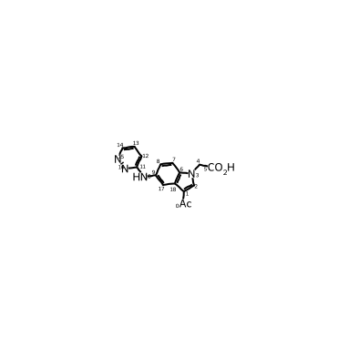 CC(=O)c1cn(CC(=O)O)c2ccc(Nc3cccnn3)cc12